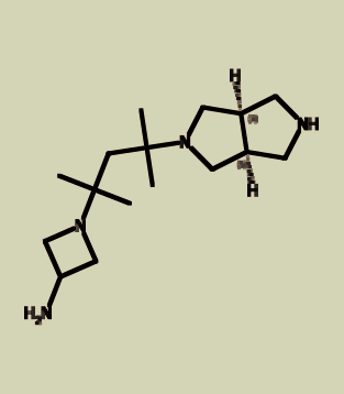 CC(C)(CC(C)(C)N1C[C@H]2CNC[C@H]2C1)N1CC(N)C1